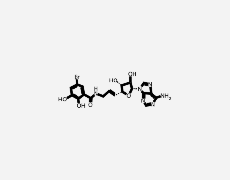 Nc1ncnc2c1ncn2[C@@H]1O[C@H](/C=C/CNC(=O)c2cc(Br)cc(O)c2O)[C@H](O)C1O